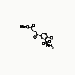 COC(=O)CCC(=O)c1ccc(Cl)c(S(N)(=O)=O)c1